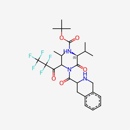 CC(C)C(C(=O)C(F)(F)C(F)(F)F)N(C(=O)C1Cc2ccccc2CN1)C(=O)[C@@H](NC(=O)OC(C)(C)C)C(C)C